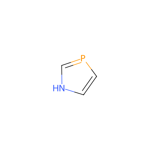 c1cpc[nH]1